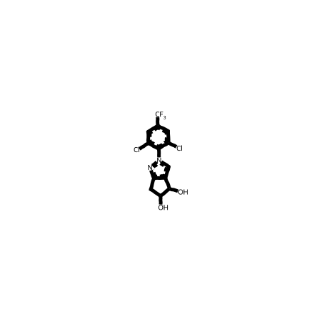 OC1Cc2nn(-c3c(Cl)cc(C(F)(F)F)cc3Cl)cc2C1O